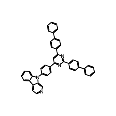 c1ccc(-c2ccc(-c3cc(-c4ccc(-n5c6ccccc6c6ccncc65)cc4)nc(-c4ccc(-c5ccccc5)cc4)n3)cc2)cc1